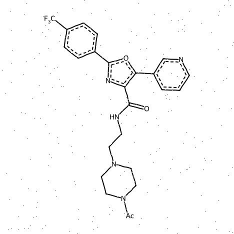 CC(=O)N1CCN(CCNC(=O)c2nc(-c3ccc(C(F)(F)F)cc3)oc2-c2cccnc2)CC1